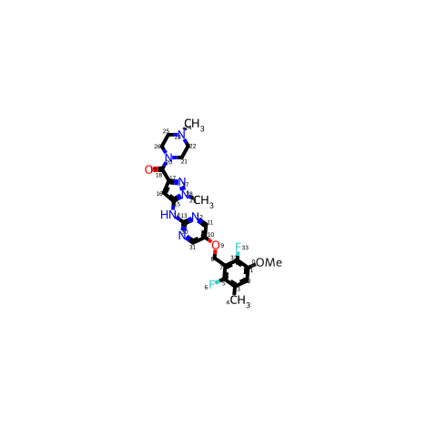 COc1cc(C)c(F)c(COc2cnc(Nc3cc(C(=O)N4CCN(C)CC4)nn3C)nc2)c1F